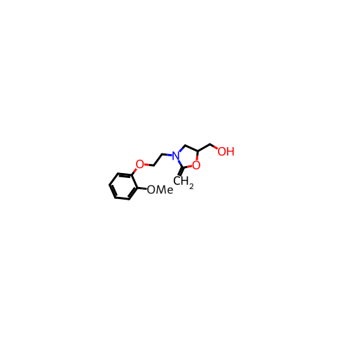 C=C1OC(CO)CN1CCOc1ccccc1OC